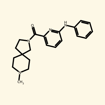 CN1CCC2(CC1)CCN(C(=O)c1cccc(Nc3ccccc3)n1)C2